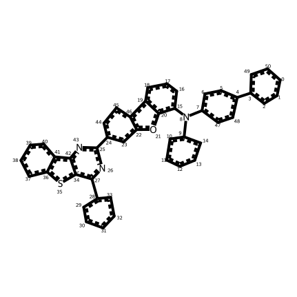 c1ccc(-c2ccc(N(c3ccccc3)c3cccc4c3oc3cc(-c5nc(-c6ccccc6)c6sc7ccccc7c6n5)ccc34)cc2)cc1